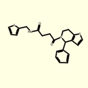 O=C(CCC(=O)N1CCc2sccc2C1c1ccccc1)NCc1cccs1